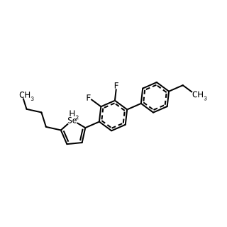 CCCCC1=CC=C(c2ccc(-c3ccc(CC)cc3)c(F)c2F)[SeH2]1